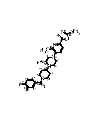 CC[C@H]1CN(c2ccc(-c3nnc(N)o3)nc2C)CCN1C1CCN(C(=O)c2ccc(F)c(F)c2)CC1